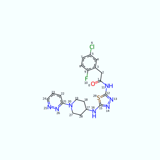 O=C(Cc1cc(Cl)ccc1F)Nc1nnc(NC2CCN(c3cccnn3)CC2)s1